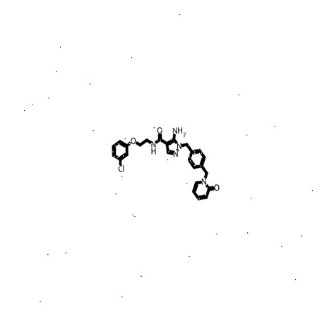 Nc1c(C(=O)NCCOc2cccc(Cl)c2)cnn1Cc1ccc(Cn2ccccc2=O)cc1